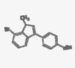 CCCCc1ccc(C2=CC(C)c3c(Br)cccc32)cc1